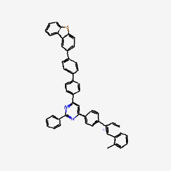 C=C/C(=C\c1ccccc1C)c1ccc(-c2cc(-c3ccc(-c4ccc(-c5ccc6sc7ccccc7c6c5)cc4)cc3)nc(-c3ccccc3)n2)cc1